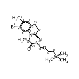 Cc1cc2c(cc1Br)N1C(=NN(COCC[Si](C)(C)C)C(=O)C1C)CC2